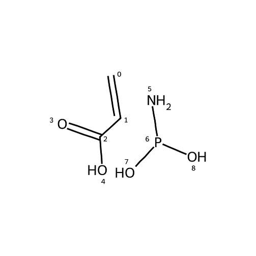 C=CC(=O)O.NP(O)O